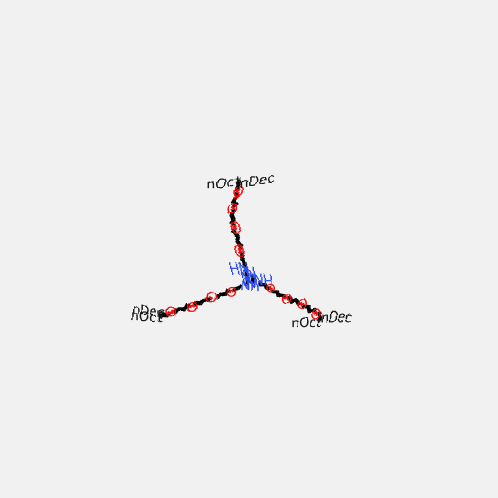 CCCCCCCCCCC(CCCCCCCC)COCCCCOCCCCOCCCCOCCCNc1nc(NCCCOCCCCOCCCCOCCCCOCC(CCCCCCCC)CCCCCCCCCC)nc(NCCCOCCCCOCCCCOCCCCOCC(CCCCCCCC)CCCCCCCCCC)n1